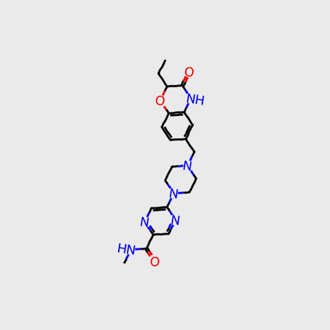 CCC1Oc2ccc(CN3CCN(c4cnc(C(=O)NC)cn4)CC3)cc2NC1=O